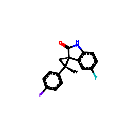 CC(C)[C@@]1(c2ccc(I)cc2)C[C@@]12C(=O)Nc1ccc(F)cc12